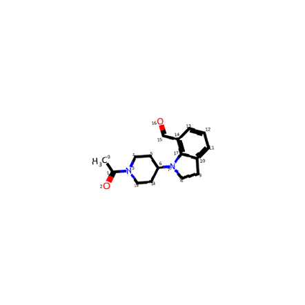 CC(=O)N1CCC(N2CCc3cccc(C=O)c32)CC1